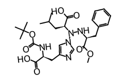 COC(=O)[C@H](Cc1ccccc1)NN([C@@H](CC(C)C)C(=O)O)n1cnc(C[C@H](NC(=O)OC(C)(C)C)C(=O)O)c1